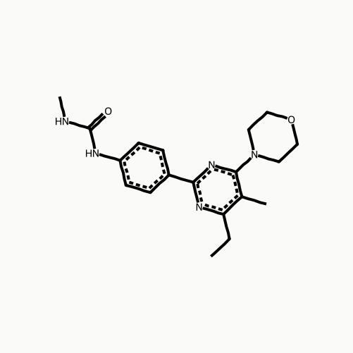 CCc1nc(-c2ccc(NC(=O)NC)cc2)nc(N2CCOCC2)c1C